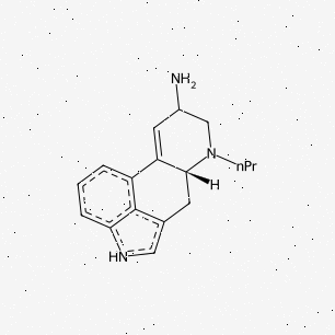 CCCN1CC(N)C=C2c3cccc4[nH]cc(c34)C[C@H]21